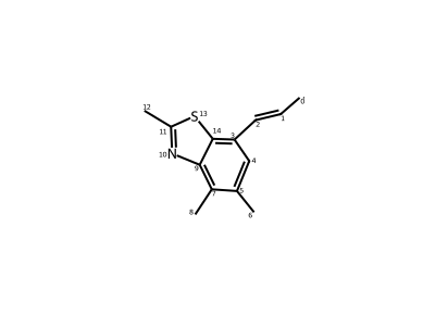 [CH2]C=Cc1cc(C)c(C)c2nc(C)sc12